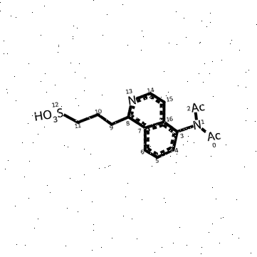 CC(=O)N(C(C)=O)c1cccc2c(CCCS(=O)(=O)O)nccc12